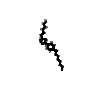 CCCCCCCOc1ccc(-c2nnc(CCCCCC)s2)cc1